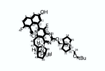 C#Cc1c(F)ccc2cc(O)cc(-c3nc4c5c(nc(OC[C@@]67CCCN6[C@H](COC(C)(C)C)CC7)nc5c3F)N3C[C@H]5CC[C@H](N5)[C@H]3CC4)c12